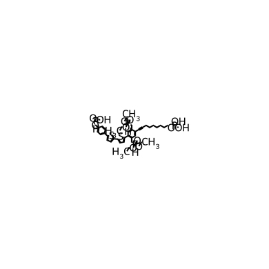 CCO[PH]1(Cc2cc(-c3ccc(-c4ccc(-c5ccc(O[PH](=O)O)cc5)s4)s3)c(C[PH]3(OCC)OC(C)O3)cc2C#CCCCCCCCOP(O)O)OC(C)O1